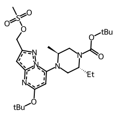 CC[C@@H]1CN(c2cc(OC(C)(C)C)nc3cc(COS(C)(=O)=O)nn23)[C@@H](C)CN1C(=O)OC(C)(C)C